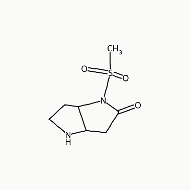 CS(=O)(=O)N1C(=O)CC2NCCC21